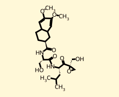 COC1=CC2CC[C@H](C(=O)N[C@@H](CO)C(=O)N[C@@H](CC(C)C)C(=O)[C@@]3(CO)CO3)CC2C=C1OC